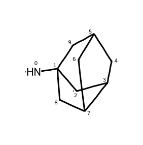 [NH]C12[CH]C3CC(CC3C1)C2